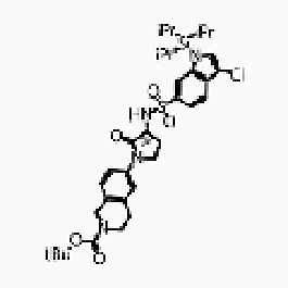 CC(C)[Si](C(C)C)(C(C)C)n1cc(Cl)c2ccc(S(=O)(=O)N[C@H]3CCN(c4ccc5c(c4)CCN(C(=O)OC(C)(C)C)C5)C3=O)cc21